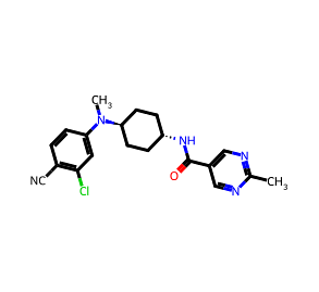 Cc1ncc(C(=O)N[C@H]2CC[C@H](N(C)c3ccc(C#N)c(Cl)c3)CC2)cn1